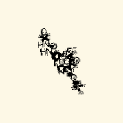 CC1(CNC(=O)Nc2cc(F)c(Oc3ccnc4c3c(C3(OCC(F)(F)F)COC3)cn4COCC[Si](C)(C)C)c(F)c2)COC1